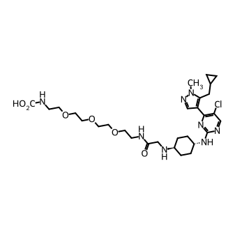 Cn1ncc(-c2nc(N[C@H]3CC[C@H](NCC(=O)NCCOCCOCCOCCNC(=O)O)CC3)ncc2Cl)c1CC1CC1